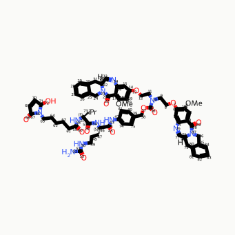 COc1cc2c(cc1OCCN(CCOc1cc3c(cc1OC)C(=O)N1Cc4ccccc4C[C@H]1C=N3)C(=O)OCc1ccc(NC(=O)[C@H](CCCNC(N)=O)NC(=O)[C@@H](NC(=O)CCCCCN3C(=O)C=CC3O)C(C)C)cc1)N=C[C@@H]1Cc3ccccc3CN1C2=O